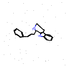 C(=Cc1ccccc1)CC1NCCc2c1[nH]c1ccccc21